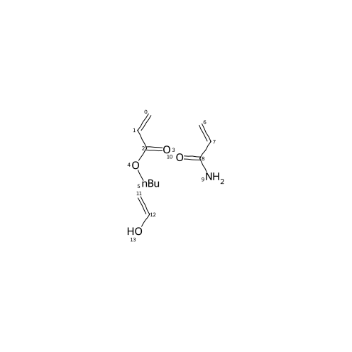 C=CC(=O)OCCCC.C=CC(N)=O.C=CO